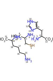 NC(CS)C(=O)O.NC(Cc1c[nH]cn1)C(=O)O.NCCCCC(N)C(=O)O